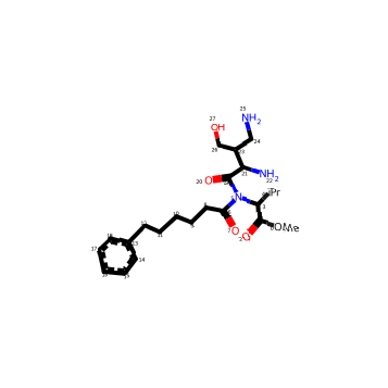 COC(=O)C(C(C)C)N(C(=O)CCCCCc1ccccc1)C(=O)C(N)C(CN)CO